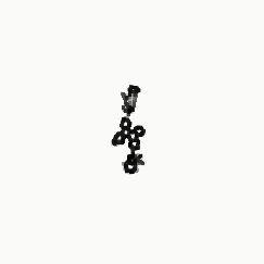 C[Si]1(C)C(c2ccc3c4ccccc4c4c5cc(C6=Cc7ccccc7[Si]6(C)C)ccc5c5ccccc5c4c3c2)=Cc2ccccc21